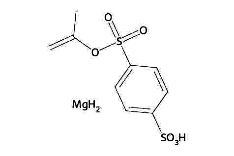 C=C(C)OS(=O)(=O)c1ccc(S(=O)(=O)O)cc1.[MgH2]